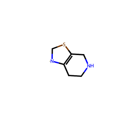 C1CC2=C(CN1)SC[N]2